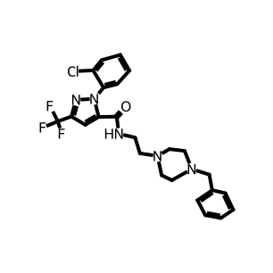 O=C(NCCN1CCN(Cc2ccccc2)CC1)c1cc(C(F)(F)F)nn1-c1ccccc1Cl